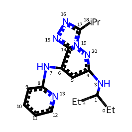 CCC(CC)Nc1cc(Nc2ccccn2)c2nnc(C(C)C)n2n1